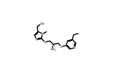 CCc1cncc(OC[C@@H](N)CSc2ncc(CO)n2C)c1